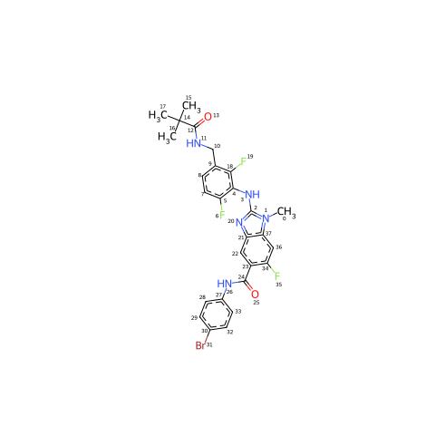 Cn1c(Nc2c(F)ccc(CNC(=O)C(C)(C)C)c2F)nc2cc(C(=O)Nc3ccc(Br)cc3)c(F)cc21